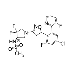 CS(=O)(=O)N[C@@H]1CN(C2=NOC(c3c(F)cc(Cl)cc3-c3ncccc3F)C2)CC1(F)F